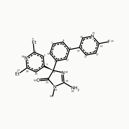 CCc1cc([C@@]2(c3cccc(-c4ccc(F)nc4)c3)N=C(N)N(C)C2=O)cc(CC)n1